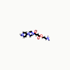 CN(C)CCCOC(=O)CCC(=O)N1CCN(C2CCN(C)CC2)CC1